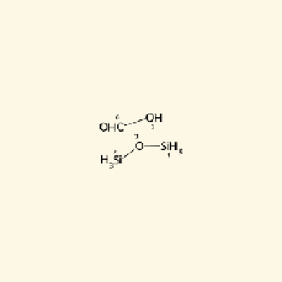 O=CO.[SiH3]O[SiH3]